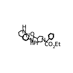 CCCN(C(=O)C1CCN(C(C(=O)OCC)c2ccccc2)CC1)c1ccc2c(n1)NCCC2